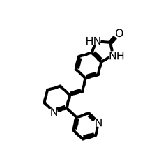 O=c1[nH]c2ccc(/C=C3\CCCN=C3c3cccnc3)cc2[nH]1